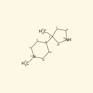 CN1CCC(C2(C)CCNC2)CC1